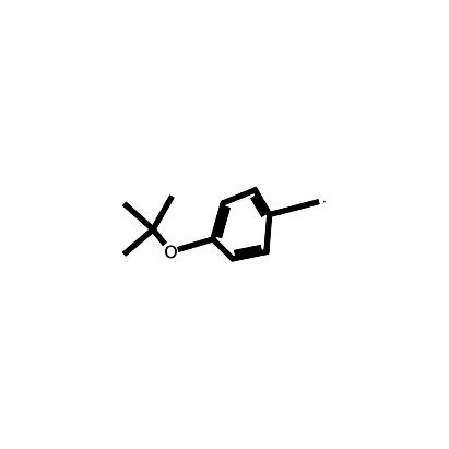 [CH2]c1ccc(OC(C)(C)C)cc1